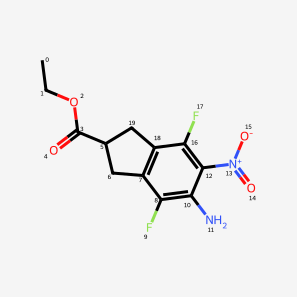 CCOC(=O)C1Cc2c(F)c(N)c([N+](=O)[O-])c(F)c2C1